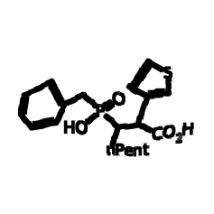 CCCCCC(C(C(=O)O)c1ccsc1)P(=O)(O)Cc1ccccc1